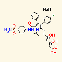 CC(C)n1c(CC[C@@H](O)C[C@@H](O)CC(=O)O)c(-c2ccc(F)cc2)c(-c2ccccc2)c1C(=O)Nc1ccc(S(N)(=O)=O)cc1.[NaH]